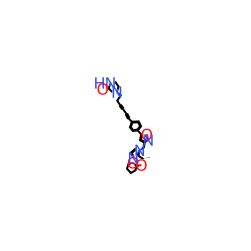 C[C@H](OC1CCCCO1)c1nccn1Cc1cc(-c2ccc(C#CC#CCCN3CCNC(=O)C3)cc2)on1